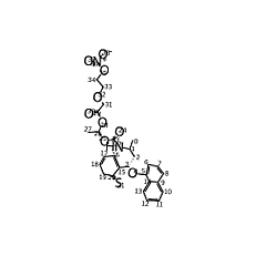 CC(C[C@H](Oc1cccc2ccccc12)C1=CC=CCC1=S)NC(=O)OC(C)OC(=O)COCCO[N+](=O)[O-]